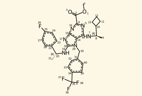 COC(=O)c1nc(N[C@H](C)C2CCC2)c2c(n1)nc(N[C@H](C)c1ccc(F)cc1)n2Cc1ccc(C(F)(F)F)cc1